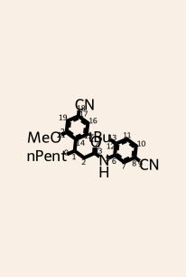 CCCCCC(CC(=O)Nc1cc(C#N)ccc1C(C)(C)C)c1ccc(C#N)cc1OC